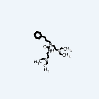 CCN(CC)CCNC(=O)N(CCCc1ccccc1)CCN(CC)CC